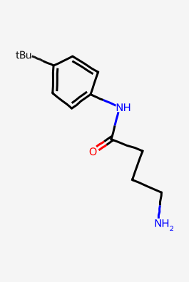 CC(C)(C)c1ccc(NC(=O)CCCN)cc1